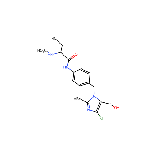 CCCCc1nc(Cl)c(CO)n1Cc1ccc(NC(=O)C(CC#N)NC(=O)O)cc1